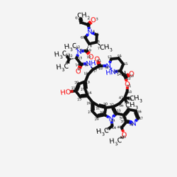 C=CC(=O)N1C[C@H](C)[C@H](C(=O)N(C)[C@H](C(=O)N[C@H]2Cc3cc(O)cc(c3)-c3ccc4c(c3)c(c(-c3cccnc3COC)n4CC)CC(C)(C)COC(=O)[C@@H]3CCCN(N3)C2=O)C(C)C)C1